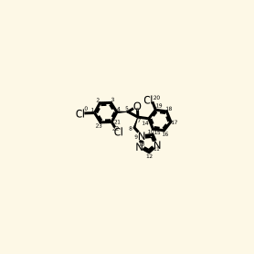 Clc1ccc([C@H]2O[C@]2(Cn2cncn2)c2ccccc2Cl)c(Cl)c1